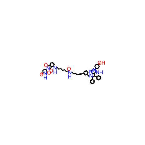 N=c1c2c(-c3ccccc3)c(-c3ccccc3)n(Cc3cccc(C#CCCCCNC(=O)CCCCCCNc4cccc5c4C(=O)N(C4CCC(=O)NC4=O)C5=O)c3)c2ncn1C1CCC(O)CC1